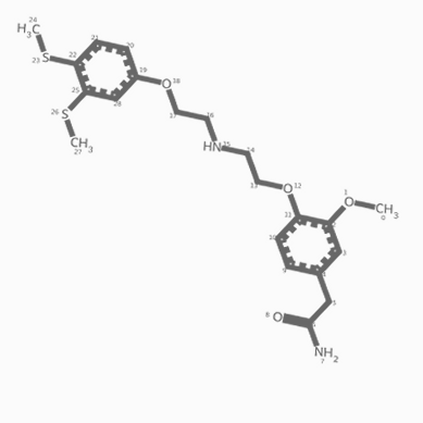 COc1cc(CC(N)=O)ccc1OCCNCCOc1ccc(SC)c(SC)c1